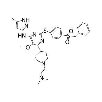 COc1c(Nc2cc(C)[nH]n2)nc(Sc2ccc(S(=O)(=O)Cc3ccccc3)cc2)nc1C1CCN(CCN(C)C)CC1